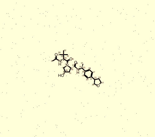 CC(=O)N[C@H](C(=O)N1C[C@H](O)C[C@H]1C(=O)N[C@@H](C)c1ccc(C2CCOC2)cc1)C(C)(C)C